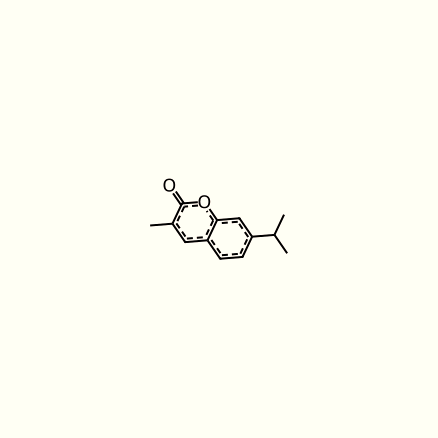 Cc1cc2ccc(C(C)C)cc2oc1=O